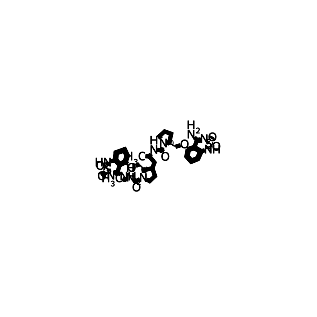 CCNC(=O)N1CCC(CC(C)NC(=O)N2CCC[C@@H]2COc2cccc3c2C(N)=NS(=O)(=O)N3)[C@H]1COc1cccc2c1C(N)=NS(=O)(=O)N2